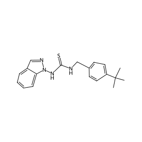 CC(C)(C)c1ccc(CNC(=S)Nn2ncc3ccccc32)cc1